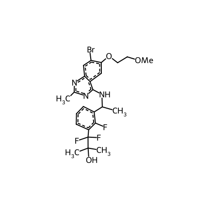 COCCOc1cc2c(NC(C)c3cccc(C(F)(F)C(C)(C)O)c3F)nc(C)nc2cc1Br